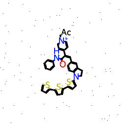 CC(=O)C[n+]1ccc(/C(=C/c2ccc3c(c2)CCN3c2ccc(-c3ccc(-c4cccs4)s3)s2)C(=O)Nc2ccccc2)cc1